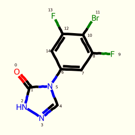 O=c1[nH]ncn1-c1cc(F)c(Br)c(F)c1